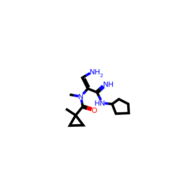 CN(C(=O)C1(C)CC1)/C(=C/N)C(=N)NC1CCCC1